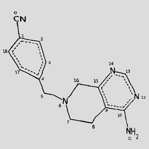 N#Cc1ccc(CN2CCc3c(N)ncnc3C2)cc1